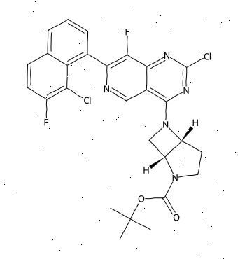 CC(C)(C)OC(=O)N1CC[C@@H]2[C@H]1CN2c1nc(Cl)nc2c(F)c(-c3cccc4ccc(F)c(Cl)c34)ncc12